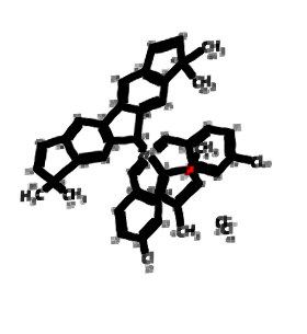 CC1=CC(C)[C]([Zr+2](=[CH]c2ccc(Cl)cc2)(=[CH]c2ccc(Cl)cc2)[CH]2c3cc4c(cc3-c3cc5c(cc32)C(C)(C)C=C5)C=CC4(C)C)=C1.[Cl-].[Cl-]